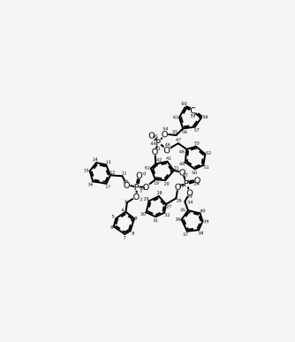 O=P(OCc1ccccc1)(OCc1ccccc1)Oc1cc(OP(=O)(OCc2ccccc2)OCc2ccccc2)cc(OP(=O)(OCc2ccccc2)OCc2ccccc2)c1